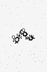 Cc1ccc(N(C)c2ccc3c(c2)N(c2nc4c(s2)C(=O)N(C)C(C)(C)C4)CCO3)nn1